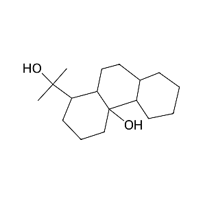 CC(C)(O)C1CCCC2(O)C3CCCCC3CCC12